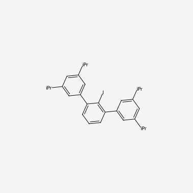 CC(C)c1cc(-c2cccc(-c3cc(C(C)C)cc(C(C)C)c3)c2I)cc(C(C)C)c1